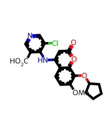 COc1ccc2c(Nc3c(Cl)cncc3C(=O)O)cc(=O)oc2c1OC1CCCC1